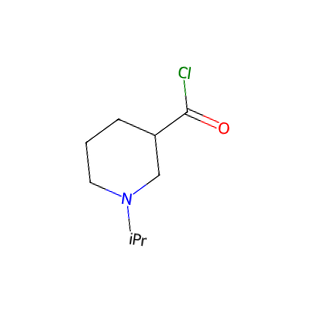 CC(C)N1CCCC(C(=O)Cl)C1